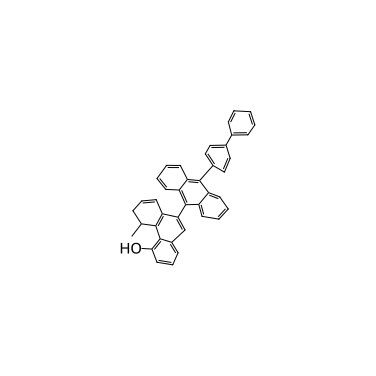 CC1CC=Cc2c(-c3c4ccccc4c(-c4ccc(-c5ccccc5)cc4)c4ccccc34)cc3cccc(O)c3c21